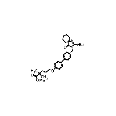 CCCCC1=NC2(CCCCC2)C(=O)N1Cc1ccc(-c2ccc(OCCCC(C)(C)C(=O)OC)cc2)cc1